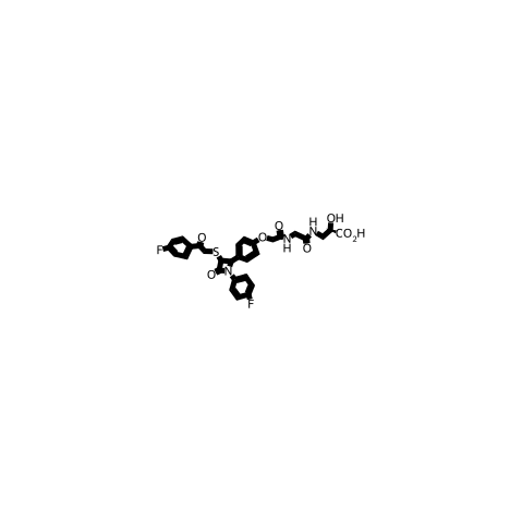 O=C(CNC(=O)COc1ccc(C2C(SCC(=O)c3ccc(F)cc3)C(=O)N2c2ccc(F)cc2)cc1)NC[C@@H](O)C(=O)O